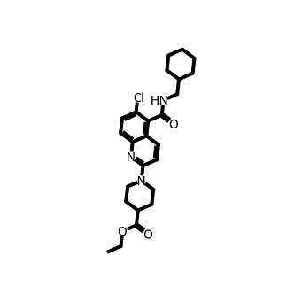 CCOC(=O)C1CCN(c2ccc3c(C(=O)NCC4CCCCC4)c(Cl)ccc3n2)CC1